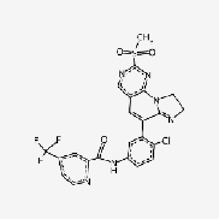 CS(=O)(=O)c1ncc2c(n1)N1CCN=C1C(c1cc(NC(=O)c3cc(C(F)(F)F)ccn3)ccc1Cl)=C2